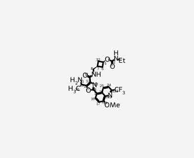 CCNC(=O)O[C@H]1C[C@@H](CNC(=O)c2nc(-c3ccc(OC)c4nc(C(F)(F)F)ccc34)oc2[C@H](C)N)C1